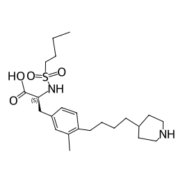 CCCCS(=O)(=O)N[C@@H](Cc1ccc(CCCCC2CCNCC2)c(C)c1)C(=O)O